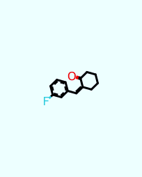 O=C1CCCC/C1=C/c1cccc(F)c1